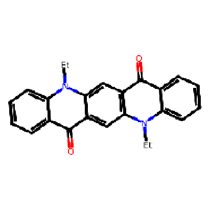 CCn1c2ccccc2c(=O)c2cc3c(cc21)c(=O)c1ccccc1n3CC